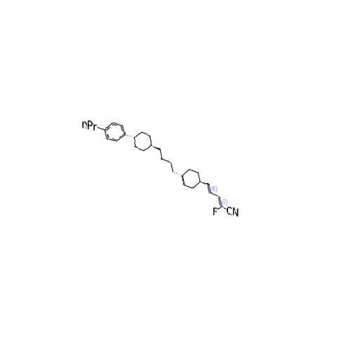 CCCc1ccc([C@H]2CC[C@H](CCCC[C@H]3CC[C@H](/C=C/C=C(\F)C#N)CC3)CC2)cc1